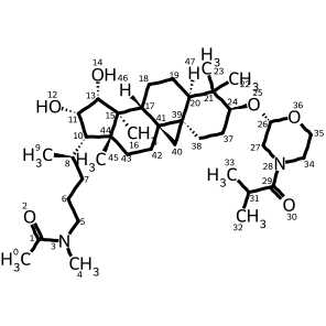 CC(=O)N(C)CCC[C@@H](C)[C@@H]1[C@H](O)[C@H](O)[C@@]2(C)[C@@H]3CC[C@H]4C(C)(C)[C@@H](O[C@H]5CN(C(=O)C(C)C)CCO5)CC[C@@]45C[C@@]35CC[C@]12C